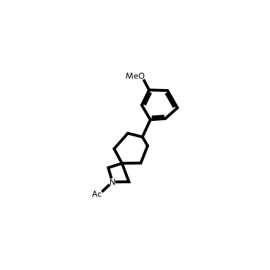 COc1cccc(C2CCC3(CC2)CN(C(C)=O)C3)c1